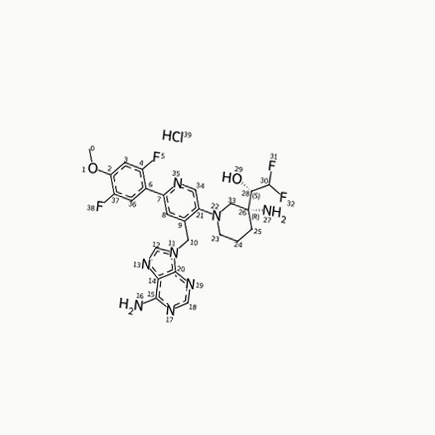 COc1cc(F)c(-c2cc(Cn3cnc4c(N)ncnc43)c(N3CCC[C@](N)([C@H](O)C(F)F)C3)cn2)cc1F.Cl